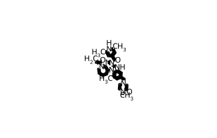 C=CC(=O)N1CCCC[C@@H](N2c3c(C)cc(CN4CCN(C)C(=O)C4)cc3NC2N(N)C(=O)C2=CC(C)NC(C)=C2)C1